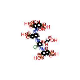 O=C(O)CCCOc1cc(N=Nc2cc(S(=O)(=O)O)cc3cc(S(=O)(=O)O)cc(O)c23)c(Cl)cc1N=Nc1ccc(N=Nc2cc(S(=O)(=O)O)c(O)c3ccc(S(=O)(=O)O)c(O)c23)c2cc(S(=O)(=O)O)ccc12